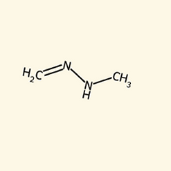 C=NNC